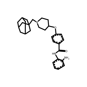 Nc1ccccc1NC(=O)c1ccc(OC2CCN(CC34CC5CC(CC(C5)C3)C4)CC2)cc1